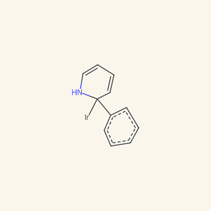 [Ir][C]1(c2ccccc2)C=CC=CN1